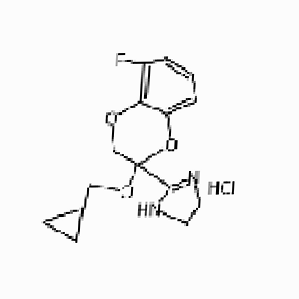 Cl.Fc1cccc2c1OCC(OCC1CC1)(C1=NCCN1)O2